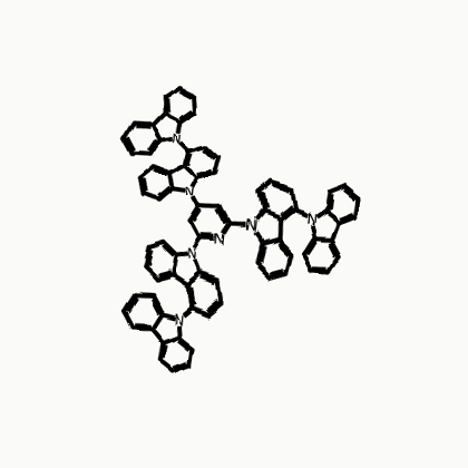 c1ccc2c(c1)c1ccccc1n2-c1cccc2c1c1ccccc1n2-c1cc(-n2c3ccccc3c3c(-n4c5ccccc5c5ccccc54)cccc32)nc(-n2c3ccccc3c3c(-n4c5ccccc5c5ccccc54)cccc32)c1